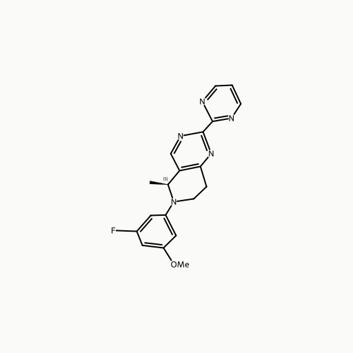 COc1cc(F)cc(N2CCc3nc(-c4ncccn4)ncc3[C@@H]2C)c1